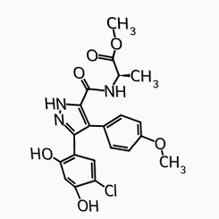 COC(=O)[C@@H](C)NC(=O)c1[nH]nc(-c2cc(Cl)c(O)cc2O)c1-c1ccc(OC)cc1